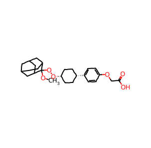 COC1(OO[C@H]2CC[C@@H](c3ccc(OCC(=O)O)cc3)CC2)C2CC3CC(C2)CC1C3